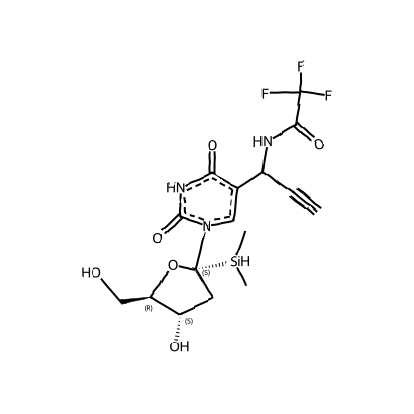 C#CC(NC(=O)C(F)(F)F)c1cn([C@@]2([SiH](C)C)C[C@H](O)[C@@H](CO)O2)c(=O)[nH]c1=O